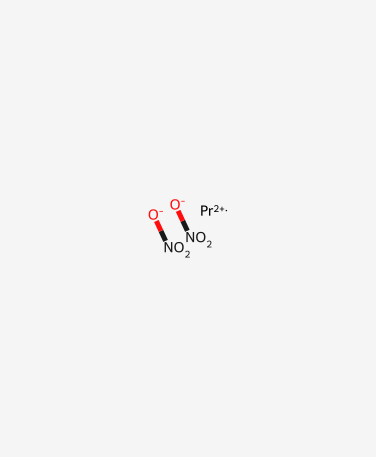 O=[N+]([O-])[O-].O=[N+]([O-])[O-].[Pr+2]